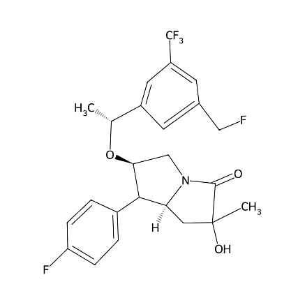 C[C@@H](O[C@H]1CN2C(=O)C(C)(O)C[C@H]2C1c1ccc(F)cc1)c1cc(CF)cc(C(F)(F)F)c1